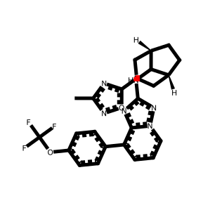 Cc1noc(N2C[C@H]3CC[C@@H](C2)C3Nc2nc3c(-c4ccc(OC(F)(F)F)cc4)cccn3n2)n1